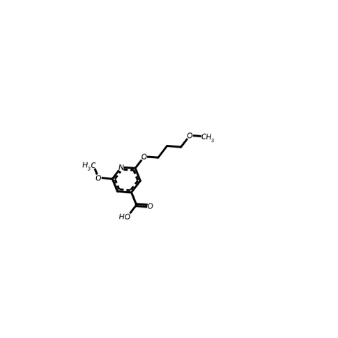 COCCCOc1cc(C(=O)O)cc(OC)n1